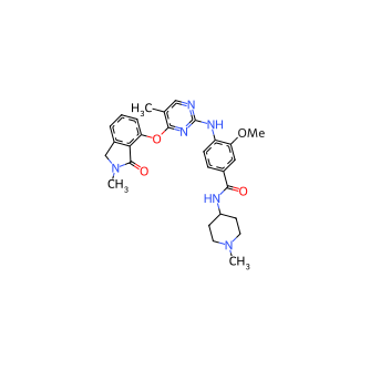 COc1cc(C(=O)NC2CCN(C)CC2)ccc1Nc1ncc(C)c(Oc2cccc3c2C(=O)N(C)C3)n1